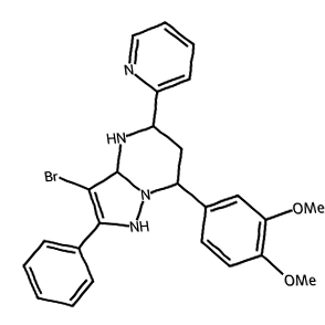 COc1ccc(C2CC(c3ccccn3)NC3C(Br)=C(c4ccccc4)NN32)cc1OC